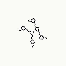 C=Cc1ccc(CCc2cccc(CCc3cccc(C=C)c3)c2)cc1.C=Cc1cccc(CCc2ccc(CCc3cccc(C=C)c3)cc2)c1